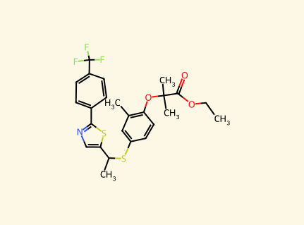 CCOC(=O)C(C)(C)Oc1ccc(SC(C)c2cnc(-c3ccc(C(F)(F)F)cc3)s2)cc1C